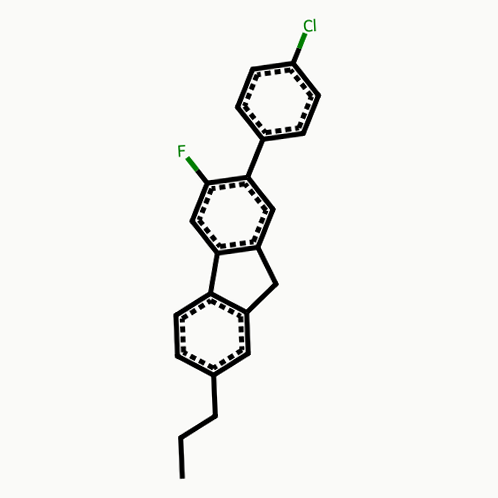 CCCc1ccc2c(c1)Cc1cc(-c3ccc(Cl)cc3)c(F)cc1-2